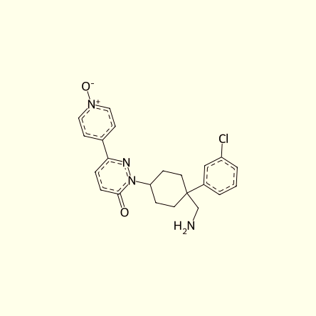 NCC1(c2cccc(Cl)c2)CCC(n2nc(-c3cc[n+]([O-])cc3)ccc2=O)CC1